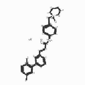 Cc1ccc(C)c(-c2cccc(C=CC(=O)Nc3ccc(C[N+]4(C)CCCCC4)cc3)c2)c1.[I-]